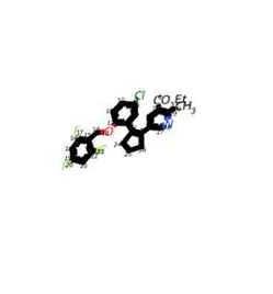 CCOC(=O)c1cc(C2=C(c3cc(Cl)ccc3OCc3c(F)cc(F)cc3F)CCC2)cnc1C